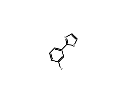 Brc1[c]ccc(-c2nccs2)c1